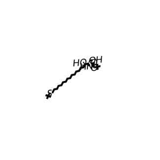 CC(C)(C)OC(=O)N[C@@H](CO)[C@H](O)/C=C/CCCCCCCCCCCCCSC(C)(C)C